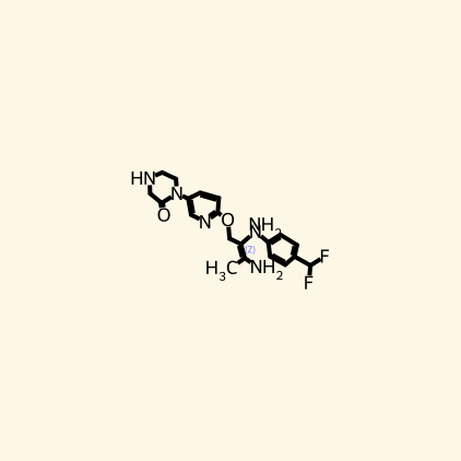 C/C(N)=C(\COc1ccc(N2CCNCC2=O)cn1)N(N)c1ccc(C(F)F)cc1